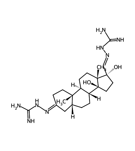 C[C@]12CC/C(=N\NC(=N)N)C[C@H]1CC[C@@H]1[C@@H]2CC[C@]2(C)[C@@](O)(/C=N/NC(=N)N)CC[C@]12O